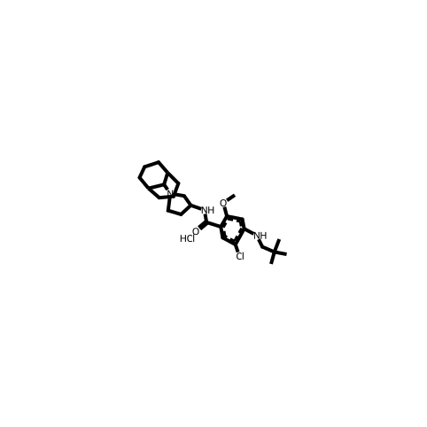 COc1cc(NCC(C)(C)C)c(Cl)cc1C(=O)NC1CCN(C2C3CCCC2CCC3)C1.Cl